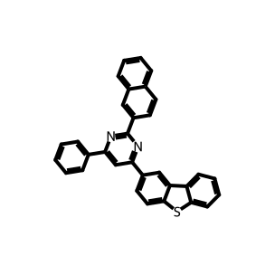 c1ccc(-c2cc(-c3ccc4sc5ccccc5c4c3)nc(-c3ccc4ccccc4c3)n2)cc1